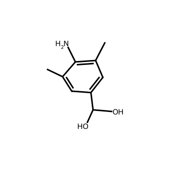 Cc1cc(C(O)O)cc(C)c1N